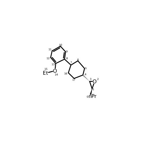 CCC[C@@H]1O[C@H]1C1CCC(c2ccccc2OCC)CC1